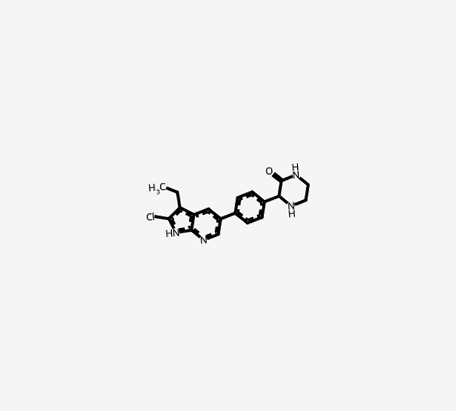 CCc1c(Cl)[nH]c2ncc(-c3ccc(C4NCCNC4=O)cc3)cc12